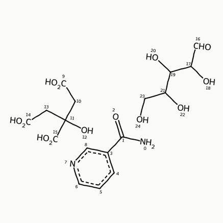 NC(=O)c1cccnc1.O=C(O)CC(O)(CC(=O)O)C(=O)O.O=CC(O)C(O)C(O)CO